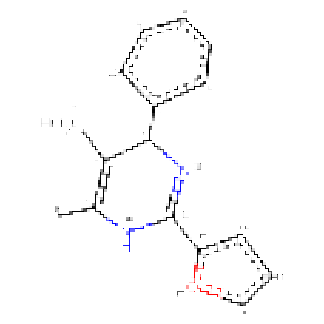 CC1=C(C(=O)O)C(c2ccccc2)N=C(c2ccco2)N1